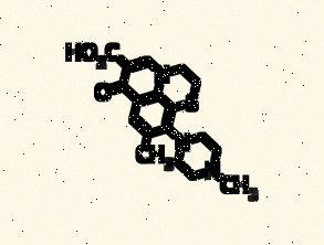 Cc1cc2c(=O)c(C(=O)O)cn3c2c(c1N1CCN(C)CC1)SCC3